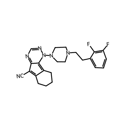 N#Cc1c2ncnn(N3CCN(CCc4cccc(F)c4F)CC3)c-2c2c1CCCC2